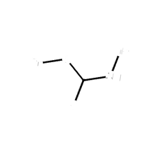 CC(C)NC(C)SC(C)C